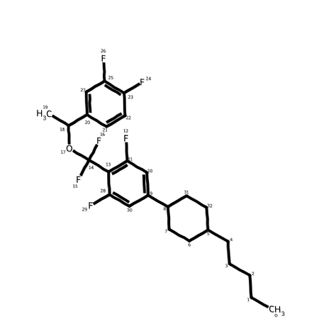 CCCCCC1CCC(c2cc(F)c(C(F)(F)OC(C)c3ccc(F)c(F)c3)c(F)c2)CC1